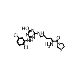 N[C@@H](CCCCNc1nc(O)nc(Nc2cc(Cl)ccc2Cl)n1)C(=O)N1CCSC1